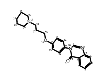 O=c1c2ccccc2ncn1-c1ccc(OCCCN2CCCCC2)cc1